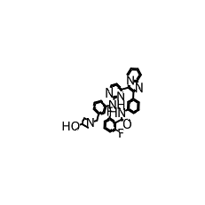 O=C(Nc1cccc(-c2nc3ccccn3c2-c2ccnc(Nc3cccc(CN4CC(O)C4)c3)n2)c1)c1c(F)cccc1F